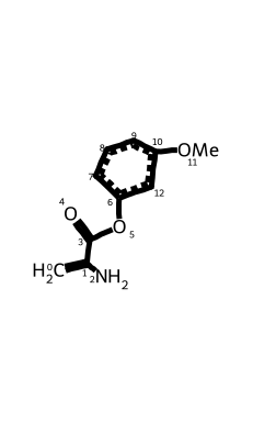 C=C(N)C(=O)Oc1cccc(OC)c1